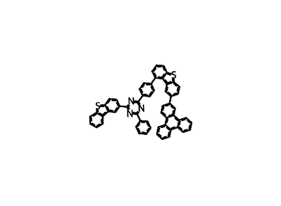 c1ccc(-c2nc(-c3ccc(-c4cccc5sc6ccc(-c7ccc8c9ccccc9c9ccccc9c8c7)cc6c45)cc3)nc(-c3ccc4sc5ccccc5c4c3)n2)cc1